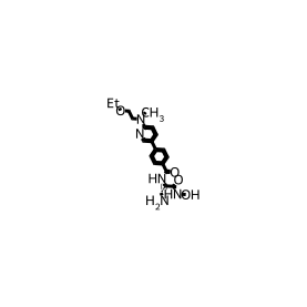 CCOCCN(C)c1ccc(-c2ccc(C(=O)N[C@@H](CN)C(=O)NO)cc2)cn1